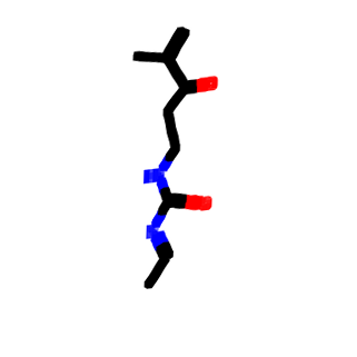 C=C(C)C(=O)CCNC(=O)N=CC